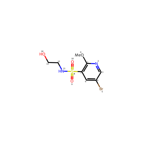 COc1ncc(Br)cc1S(=O)(=O)NCCO